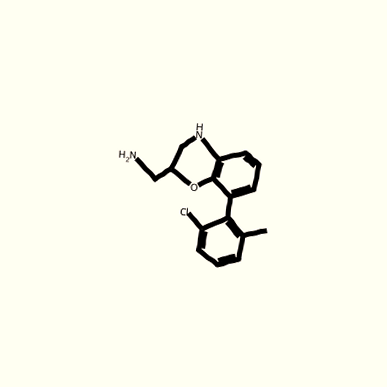 Cc1cccc(Cl)c1-c1cccc2c1OC(CN)CN2